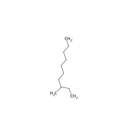 [CH2]CCCCCC[C](C)CC